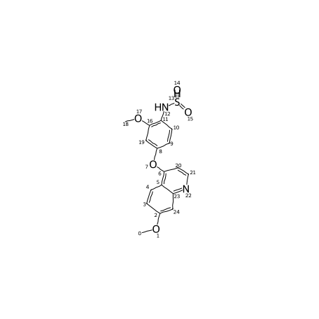 COc1ccc2c(Oc3ccc(N[SH](=O)=O)c(OC)c3)ccnc2c1